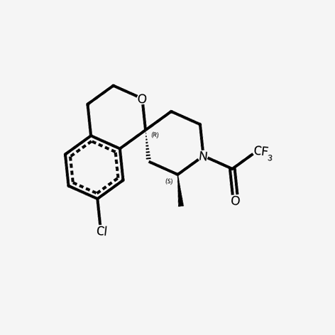 C[C@H]1C[C@@]2(CCN1C(=O)C(F)(F)F)OCCc1ccc(Cl)cc12